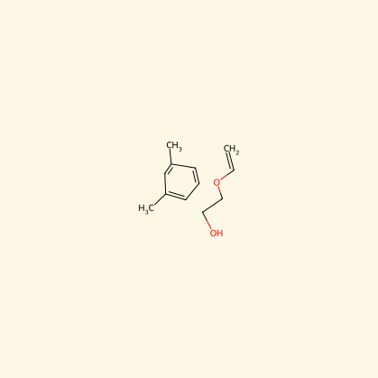 C=COCCO.Cc1cccc(C)c1